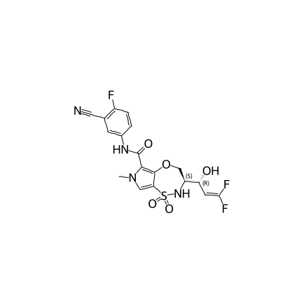 Cn1cc2c(c1C(=O)Nc1ccc(F)c(C#N)c1)OC[C@@H]([C@H](O)C=C(F)F)NS2(=O)=O